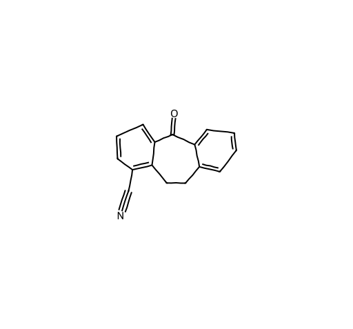 N#Cc1cccc2c1CCc1ccccc1C2=O